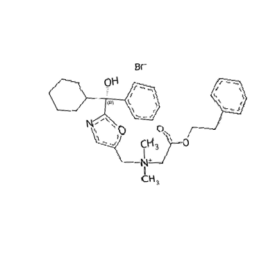 C[N+](C)(CC(=O)OCCc1ccccc1)Cc1cnc([C@](O)(c2ccccc2)C2CCCCC2)o1.[Br-]